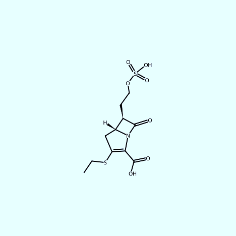 CCSC1=C(C(=O)O)N2C(=O)[C@H](CCOS(=O)(=O)O)[C@H]2C1